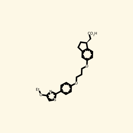 CCOc1csc(-c2ccc(OCCCOc3ccc4c(c3)CC[C@H]4CC(=O)O)cc2)n1